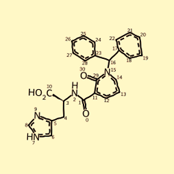 O=C(N[C@@H](Cc1c[nH]cn1)C(=O)O)c1cccn(C(c2ccccc2)c2ccccc2)c1=O